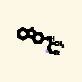 C=C(/C=C\CC)Nc1ccc2c(c1)sc1ccccc12